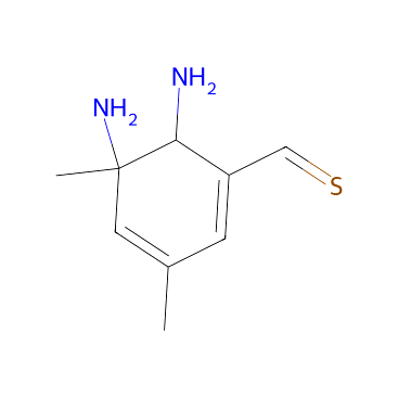 CC1=CC(C)(N)C(N)C(C=S)=C1